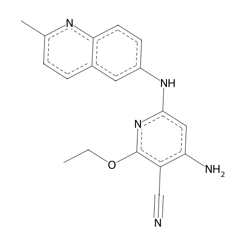 CCOc1nc(Nc2ccc3nc(C)ccc3c2)cc(N)c1C#N